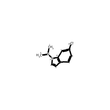 CN(C)n1ccc2ccc(Cl)cc21